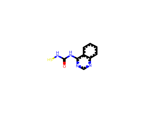 O=C(NS)Nc1ncnc2ccccc12